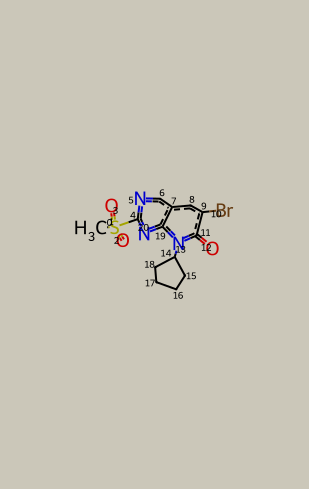 CS(=O)(=O)c1ncc2cc(Br)c(=O)n(C3CCCC3)c2n1